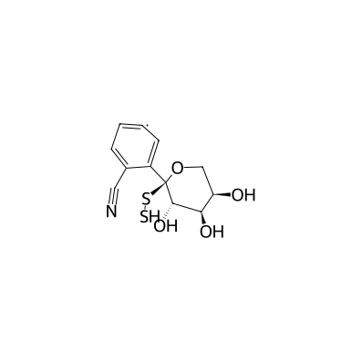 N#Cc1cc[c]cc1[C@]1(SS)OC[C@@H](O)[C@@H](O)[C@@H]1O